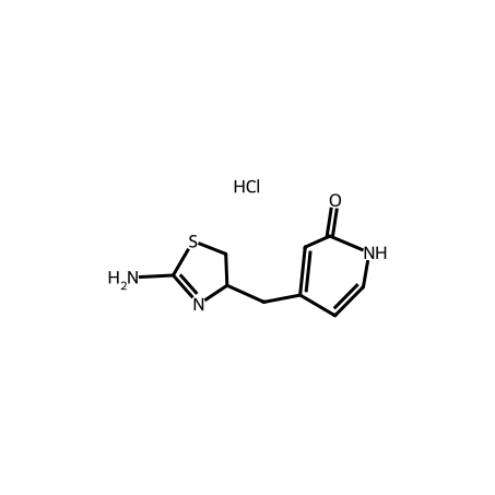 Cl.NC1=NC(Cc2cc[nH]c(=O)c2)CS1